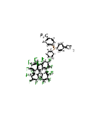 FC(F)(F)c1ccc([S+](c2ccccc2)c2ccc(C(F)(F)F)cc2)cc1.Fc1c(F)c(F)c([B-](c2c(F)c(F)c(F)c(F)c2F)(c2c(F)c(F)c(F)c(F)c2F)c2c(F)c(F)c(F)c(F)c2F)c(F)c1F